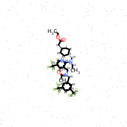 CCOC(=O)C[C@H]1CC[C@H](CN(CC)c2ncc(C(F)(F)F)cc2CN(Cc2cc(C(F)(F)F)cc(C(F)(F)F)c2)C(C)=O)CC1